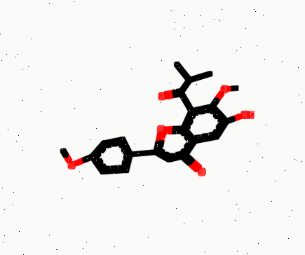 COc1ccc(-c2cc(=O)c3cc(O)c(OC)c(C(=O)C(C)C)c3o2)cc1